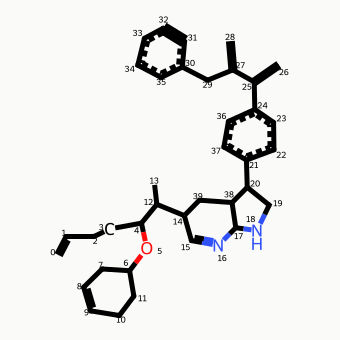 C=CCCC(OC1CC=CCC1)C(C)C1C=NC2NCC(c3ccc(C(=C)C(=C)Cc4c#cccc4)cc3)C2C1